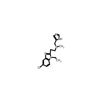 CCn1c(CCN(C)Cc2cnc[nH]2)nc2cc(Cl)ccc21